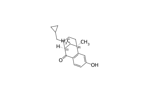 CC1[C@H]2C(=O)c3ccc(O)cc3[C@]1(C)CCC2CC1CC1